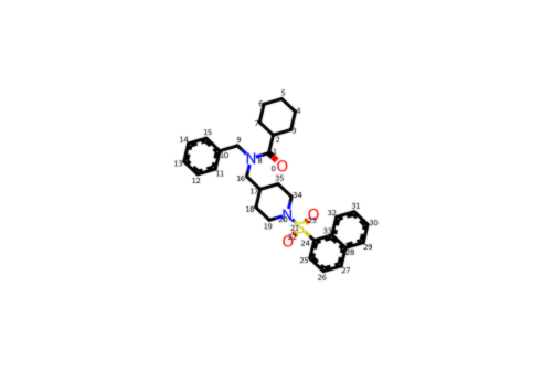 O=C(C1CCCCC1)N(Cc1ccccc1)CC1CCN(S(=O)(=O)c2cccc3ccccc23)CC1